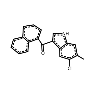 Cc1cc2[nH]cc(C(=O)c3cccc4ccccc34)c2cc1Cl